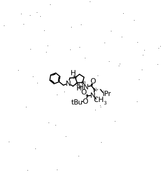 CC(C)C[C@@H](C(=O)N[C@@H]1CC[C@H]2CN(Cc3ccccc3)C[C@H]21)N(C)C(=O)OC(C)(C)C